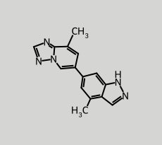 Cc1cc(-c2cc(C)c3ncnn3c2)cc2[nH]ncc12